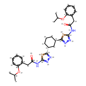 CC(C)Oc1ccccc1CC(=O)Nc1nnc([C@@H]2CCC[C@@H](c3nnc(NC(=O)Cc4ccccc4OC(C)C)s3)C2)s1